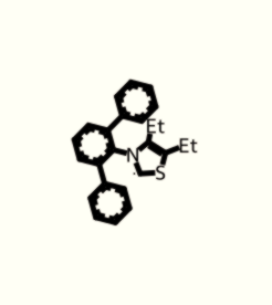 CCC1=C(CC)N(c2c(-c3ccccc3)cccc2-c2ccccc2)[CH]S1